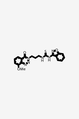 COc1cccc2c(=O)n(CCCNC(=S)Nc3noc4ccccc34)nnc12